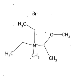 CC[N+](C)(CC)C(C)OC.[Br-]